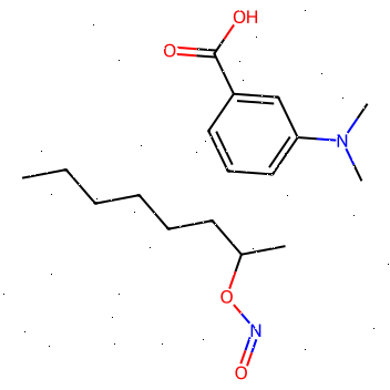 CCCCCCC(C)ON=O.CN(C)c1cccc(C(=O)O)c1